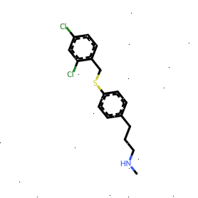 CNCCCc1ccc(SCc2ccc(Cl)cc2Cl)cc1